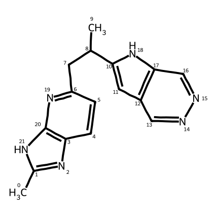 Cc1nc2ccc(CC(C)c3cc4cnncc4[nH]3)nc2[nH]1